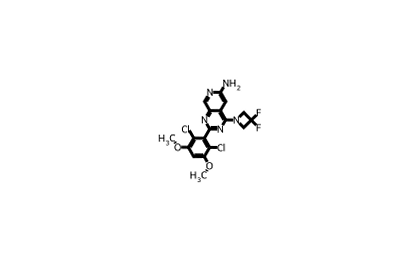 COc1cc(OC)c(Cl)c(-c2nc(N3CC(F)(F)C3)c3cc(N)ncc3n2)c1Cl